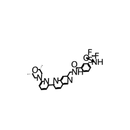 C[C@@H]1CN(c2cccc(-c3ccc4cnc(CNC(=O)c5cccc([S@@](=N)(=O)C(F)F)c5)cc4n3)n2)C[C@H](C)O1